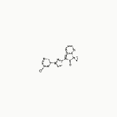 O=C(Nc1ccn(-c2cncc(Cl)c2)n1)C1(c2ncccn2)CC1